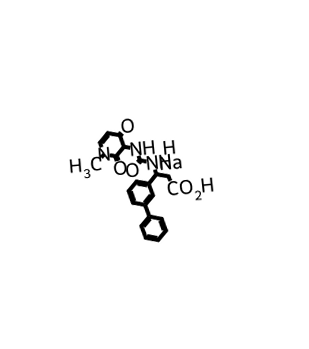 CN1C=CC(=O)C(NC(=O)NC(CC(=O)O)c2cccc(-c3ccccc3)c2)C1=O.[NaH]